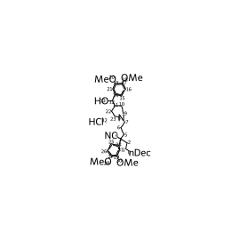 CCCCCCCCCCCCC(C#N)(CCCN1CCC(C(O)c2ccc(OC)c(OC)c2)CC1)c1ccc(OC)c(OC)c1.Cl